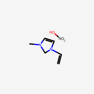 C=CN1C=CN(C)C1.O=[N+]([O-])O